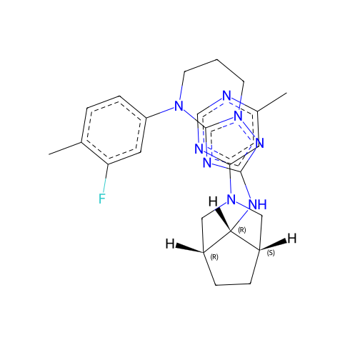 Cc1cc(N2C[C@H]3CC[C@@H](C2)[C@H]3Nc2nc3n(n2)CCCN3c2ccc(C)c(F)c2)ncn1